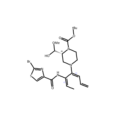 C=C/C=C(\C(=C/C)NC(=O)c1csc(Br)n1)N1CCN(C(=O)OC(C)(C)C)[C@@H](C(O)OC)C1